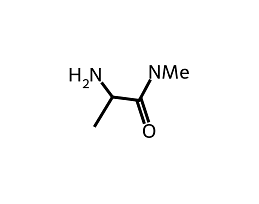 CNC(=O)C(C)N